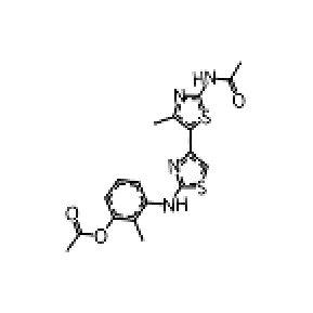 CC(=O)Nc1nc(C)c(-c2csc(Nc3cccc(OC(C)=O)c3C)n2)s1